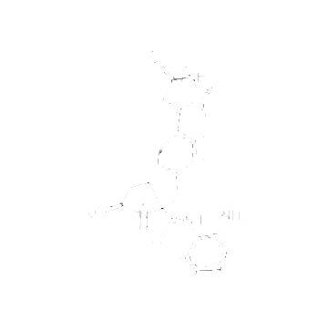 Nc1ccccc1NC(=O)C1(Cc2ccc(C3CC(=O)NS3(=O)=O)cc2)CCC(=O)N1